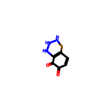 O=C1C=Cc2s[nH][nH][nH]c2C1=O